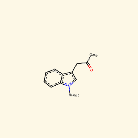 CCCCCn1cc(CC(=O)OC)c2ccccc21